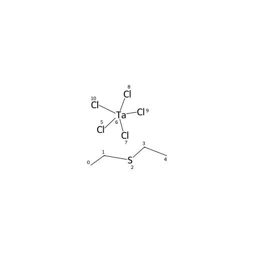 CCSCC.[Cl][Ta]([Cl])([Cl])([Cl])[Cl]